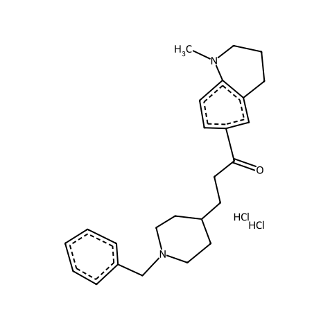 CN1CCCc2cc(C(=O)CCC3CCN(Cc4ccccc4)CC3)ccc21.Cl.Cl